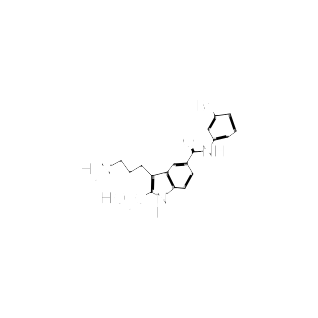 NCCCc1c(C(=O)O)[nH]c2ccc(C(=O)Nc3cccc(Br)c3)cc12